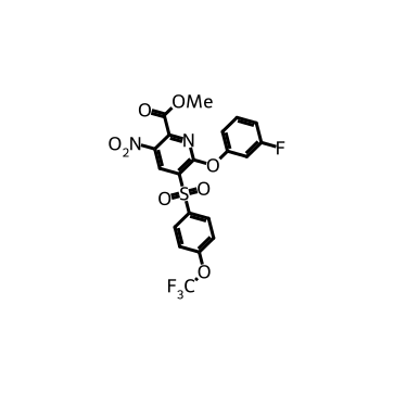 COC(=O)c1nc(Oc2cccc(F)c2)c(S(=O)(=O)c2ccc(OC(F)(F)F)cc2)cc1[N+](=O)[O-]